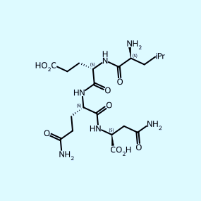 CC(C)C[C@H](N)C(=O)N[C@@H](CCC(=O)O)C(=O)N[C@@H](CCC(N)=O)C(=O)N[C@@H](CC(N)=O)C(=O)O